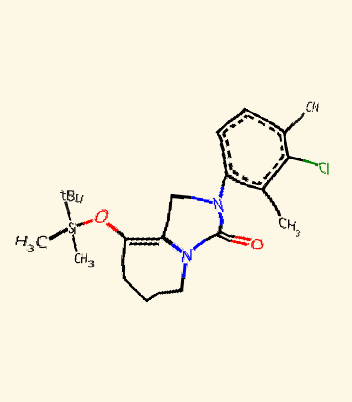 Cc1c(N2CC3=C(O[Si](C)(C)C(C)(C)C)CCCN3C2=O)ccc(C#N)c1Cl